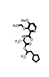 COc1ccnc(C(=O)N[C@@H](C)C(=O)OC(C)CC2CCCC2)c1OCOC(C)=O